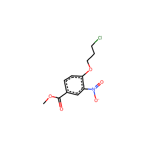 COC(=O)c1ccc(OCCCCl)c([N+](=O)[O-])c1